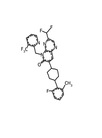 Cc1cccc(F)c1C1CCC(c2cc3ncc(C(F)F)nc3n(Cc3ncccc3C(F)(F)F)c2=O)CC1